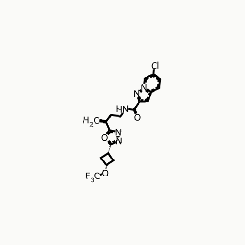 C=C(CCNC(=O)c1cc2ccc(Cl)cn2n1)c1nnc([C@H]2C[C@@H](OC(F)(F)F)C2)o1